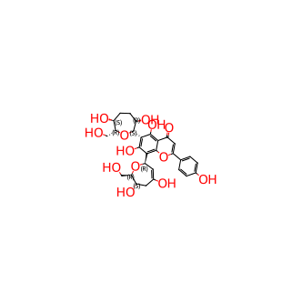 O=c1cc(-c2ccc(O)cc2)oc2c([C@H]3C=C(O)C[C@H](O)[C@@H](CO)O3)c(O)c([C@@H]3O[C@H](CO)[C@@H](O)CC[C@H]3O)c(O)c12